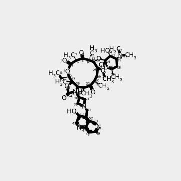 CC[C@H]1OC(=O)[C@H](C)C(=O)[C@H](C)[C@@H](O[C@@H]2O[C@H](C)C[C@H](N(C)C)[C@H]2O)[C@](C)(OC)C[C@@H](C)C(=O)[C@H](C)[C@H]2N(C3CN(Cc4c(O)cnc5ccncc45)C3)C(=O)O[C@]12C